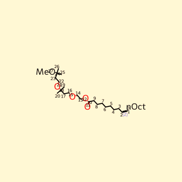 CCCCCCCC/C=C\CCCCCCCC(=O)OCCOCCC(C)(C)OCCC(C)(C)OC